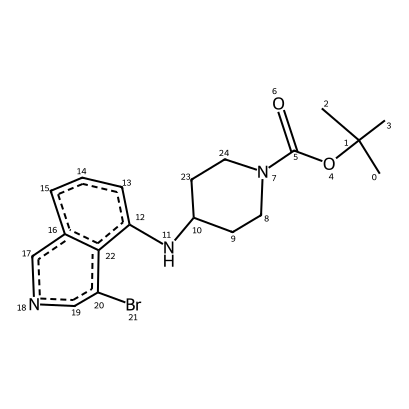 CC(C)(C)OC(=O)N1CCC(Nc2cccc3cncc(Br)c23)CC1